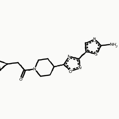 Nc1ncc(-c2noc(C3CCN(C(=O)CC4CC4)CC3)n2)s1